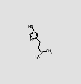 CN(C)CCc1cn(S)nn1